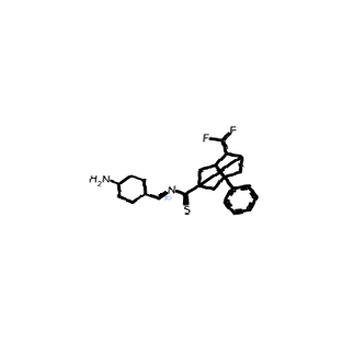 NC1CCC(/C=N/C(=S)C23CC4C(C(F)F)C2CC4(c2ccccc2)C3)CC1